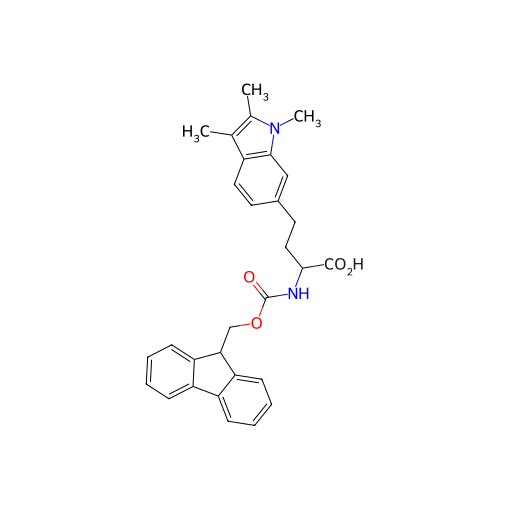 Cc1c(C)n(C)c2cc(CCC(NC(=O)OCC3c4ccccc4-c4ccccc43)C(=O)O)ccc12